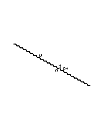 CCCCCCCCCCCCCCCC[C@@H](O)CNC(=O)CCCCCCCCCCC(=O)CCCCCCCCCCCCCCC